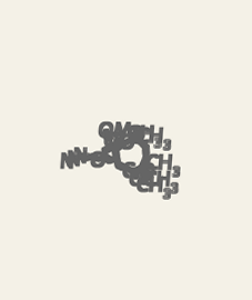 COCOc1cc(OCCN=[N+]=[N-])cc2c1C(=O)OC(C)[C@H](C)/C=C\C(C)C1OC(C)(C)OC1C/C=C/2